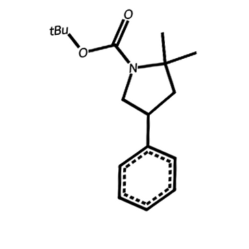 CC(C)(C)OC(=O)N1CC(c2ccccc2)CC1(C)C